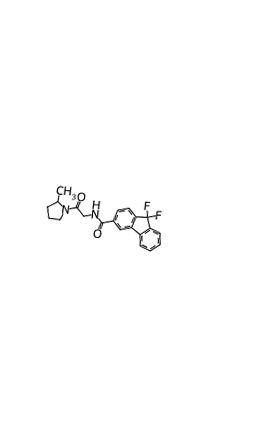 CC1CCCN1C(=O)CNC(=O)c1ccc2c(c1)-c1ccccc1C2(F)F